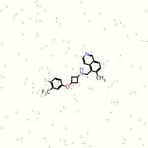 Cc1ccc2cnccc2c1CNC1CC(Oc2ccc(F)c(C(F)(F)F)c2)C1